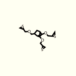 C(OCC1CC2CC1C(OCC1CS1)C2OCC1CS1)C1CS1